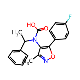 Cc1noc(-c2ccc(F)cc2)c1N(C(=O)O)C(C)c1ccccc1